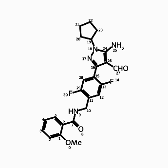 COc1ccccc1C(=O)NCc1cc(F)c(-c2nn(C3CCCC3)c(N)c2C=O)cc1F